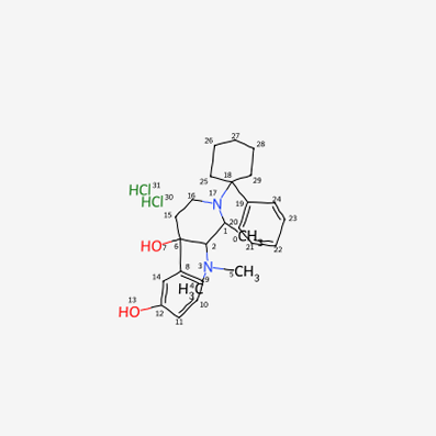 CC1C(N(C)C)C(O)(c2cccc(O)c2)CCN1C1(c2ccccc2)CCCCC1.Cl.Cl